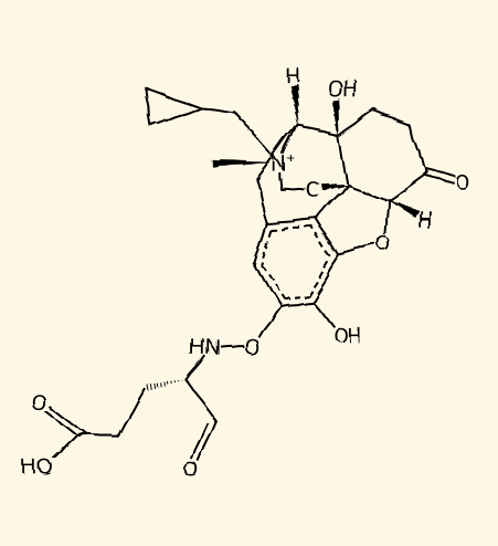 C[N@+]1(CC2CC2)CC[C@]23c4c5cc(ON[C@H](C=O)CCC(=O)O)c(O)c4O[C@H]2C(=O)CC[C@@]3(O)[C@H]1C5